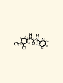 O=C(Nc1ccc(Cl)c(Cl)c1)Nc1ccccn1